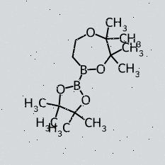 CC1(C)OCCB(B2OC(C)(C)C(C)(C)O2)OC1(C)C